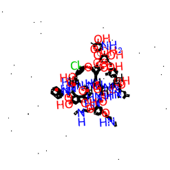 CCNCCOc1ccc(OCCNCC)c(NC(=O)NC(=O)C[C@@H]2NC(=O)[C@H](NC(=O)[C@@H](CC(C)C)NC)[C@H](O)c3ccc(c(C)c3)Oc3cc4cc(c3O[C@@H]3O[C@H](CO)[C@@H](O)[C@H](O)[C@H]3O[C@H]3C[C@](C)(N)[C@H](O)[C@H](C)O3)Oc3ccc(cc3Cl)[C@@H](O)[C@@H]3NC(=O)[C@H](NC(=O)[C@@H]4NC2=O)c2ccc(O)c(c2)-c2c(C)cc(O)cc2[C@@H](C(=O)NC2C4CC5CC(C4)CC2C5)NC3=O)c1